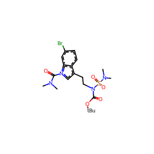 CN(C)C(=O)n1cc(CCN(C(=O)OC(C)(C)C)S(=O)(=O)N(C)C)c2ccc(Br)cc21